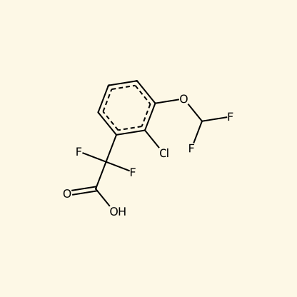 O=C(O)C(F)(F)c1cccc(OC(F)F)c1Cl